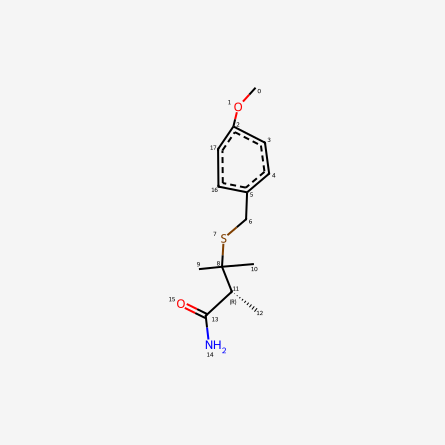 COc1ccc(CSC(C)(C)[C@H](C)C(N)=O)cc1